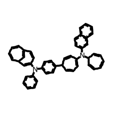 C1=CC=CC(N(C2=CC=CC(c3ccc(N(C4=CC5C=CC=CC(=C5)C=C4)c4ccccc4)cc3)C=C2)c2ccc3ccccc3c2)C=C1